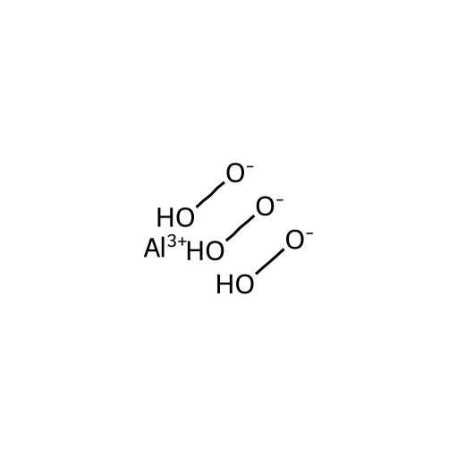 [Al+3].[O-]O.[O-]O.[O-]O